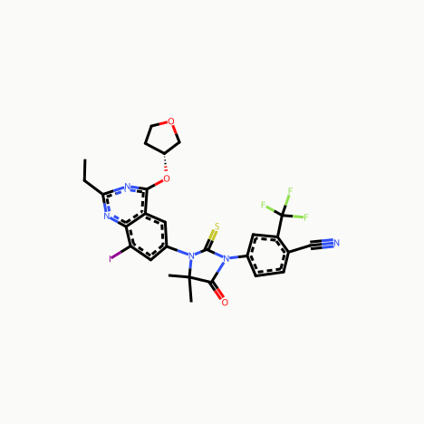 CCc1nc(O[C@@H]2CCOC2)c2cc(N3C(=S)N(c4ccc(C#N)c(C(F)(F)F)c4)C(=O)C3(C)C)cc(I)c2n1